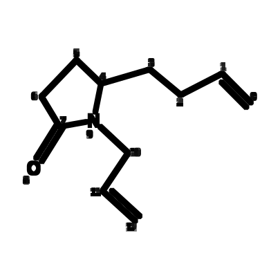 C=CCCC1CCC(=O)N1CC=C